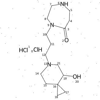 Cl.Cl.O=C1CCNCCN1CCCN1CCC2(CC2)C(O)C1